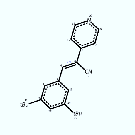 CC(C)(C)c1cc(/C=C(\C#N)c2ccncc2)cc(C(C)(C)C)c1